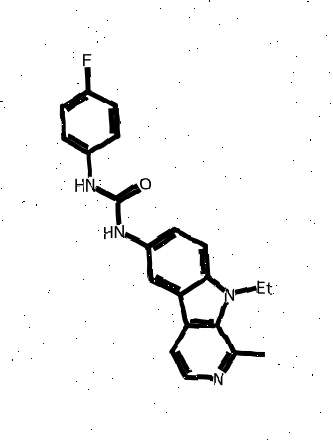 CCn1c2ccc(NC(=O)Nc3ccc(F)cc3)cc2c2ccnc(C)c21